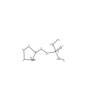 COP(=O)(CCC1CCCN1)OC